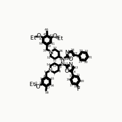 CCOc1cc(CN2CCC(N(c3ncc(-c4ccc(F)cc4)o3)N(c3ncc(-c4ccccc4)o3)C3CCN(Cc4cc(OCC)c(C)c(OCC)c4)CC3)CC2)ccc1C